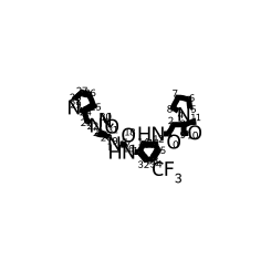 O=C(CC1(N2CCCC2)COC1)Nc1cc(NC(=O)[N-]c2c[n+](Cc3ccccn3)no2)cc(C(F)(F)F)c1